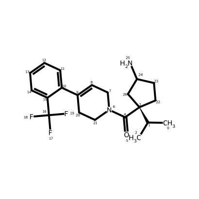 CC(C)[C@]1(C(=O)N2CC=C(c3ccccc3C(F)(F)F)CC2)CCC(N)C1